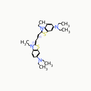 CCN(CC)c1ccc2c(c1)S/C(=C\C=C\c1sc3cc(N(CC)CC)ccc3[n+]1CC)N2CC